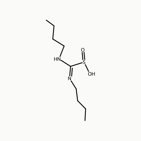 CCCC/N=C(/NCCCC)S(=O)O